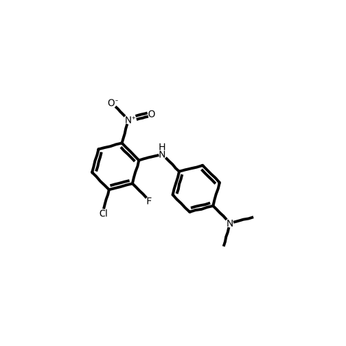 CN(C)c1ccc(Nc2c([N+](=O)[O-])ccc(Cl)c2F)cc1